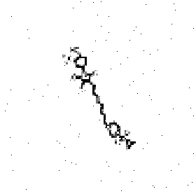 CC1=C(CCCCCCCCN2CCN(S(=O)(=O)C3CC3)CC2)C(=O)N(c2ccc(C#N)c(C(F)(F)F)c2)C1=O